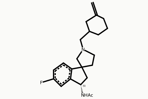 C=C1CCCC(CN2CCC3(C[C@H](NC(C)=O)c4cc(F)ccc43)C2)C1